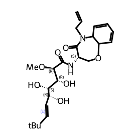 C=CCN1C(=O)[C@@H](NC(=O)[C@H](OC)[C@H](O)[C@@H](O)[C@H](O)/C=C/C(C)(C)C)COC2C=CC=CC21